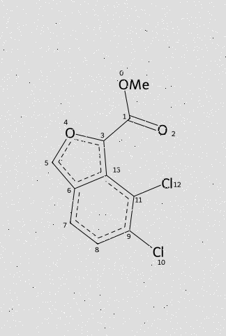 COC(=O)c1occ2ccc(Cl)c(Cl)c12